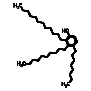 CCCCCCCCCCCCc1c(O)ccc(CCCCCCCC)c1CCCCCCCCCC